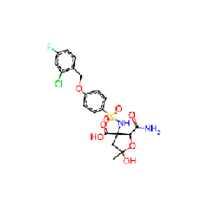 CC1(O)CC(NS(=O)(=O)c2ccc(OCc3ccc(F)cc3Cl)cc2)(C(=O)O)C(C(N)=O)O1